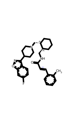 Cc1ccccc1/C=C/C(=O)NC[C@@H]1CCCC[C@H]1CN1CCC(c2noc3cc(F)ccc23)CC1